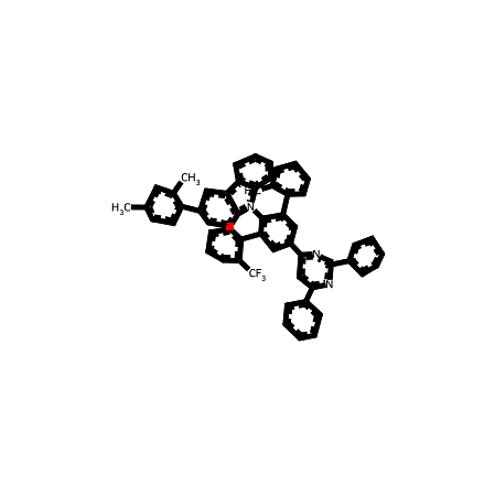 Cc1ccc(-c2ccc3c(c2)c2ccccc2n3-c2c(-c3ccccc3C(F)(F)F)cc(-c3cc(-c4ccccc4)nc(-c4ccccc4)n3)cc2-c2ccccc2C(F)(F)F)c(C)c1